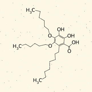 CCCCCCCCc1c(OCCCCCC)c(OCCCCCC)c(O)c(O)c1C(=O)O